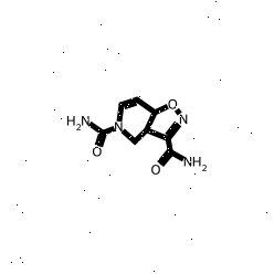 NC(=O)C1=NOC2C=CN(C(N)=O)CC12